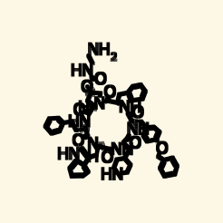 NCCNC(=O)O[C@@H]1C[C@H]2C(=O)N[C@H](CCc3ccccc3)C(=O)N[C@H](Cc3c[nH]c4ccccc34)C(=O)NC(CC3CCNCC3)C(=O)N[C@@H](Cc3ccc(OCc4ccccc4)cc3)C(=O)NC(Cc3ccccc3)C(=O)N2C1